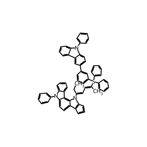 CC/C(=C\C=C(/C)S(c1ccccc1)(c1ccccc1)c1cccc(-c2ccc3c(c2)c2ccccc2n3-c2ccccc2)c1)n1c2c(c3ccc4c(c5ccccc5n4-c4ccccc4)c31)C=C=C2